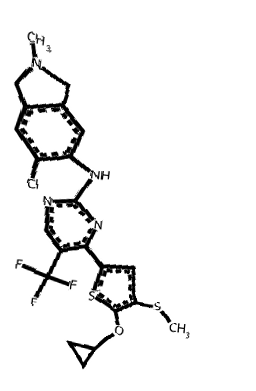 CSc1cc(-c2nc(Nc3cc4c(cc3Cl)CN(C)C4)ncc2C(F)(F)F)sc1OC1CC1